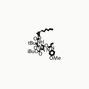 C=CCCCC[C@@H]1C[C@H]1OC(=O)N[C@H](C(=O)N1C[C@H](Oc2nc3cc(OC)ccc3nc2C=C)[C@@H](C)[C@H]1C(=O)OCC(C)C)C(C)(C)C